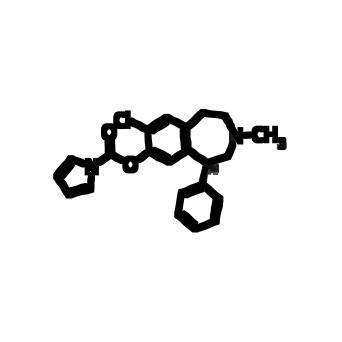 CN1CCc2cc(Cl)c(OC(=O)n3cccc3)cc2[C@H](c2ccccc2)C1